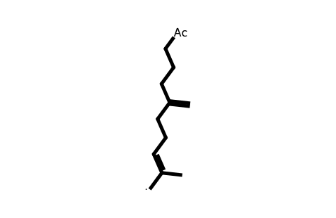 [CH2]/C(C)=C/CCC(=C)CCCC(C)=O